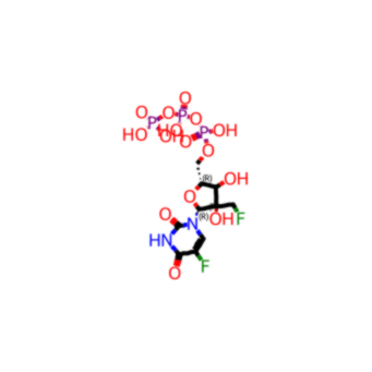 O=c1[nH]c(=O)n([C@@H]2O[C@H](COP(=O)(O)OP(=O)(O)OP(=O)(O)O)C(O)[C@]2(O)CF)cc1F